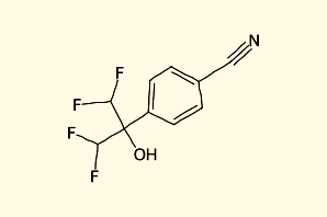 N#Cc1ccc(C(O)(C(F)F)C(F)F)cc1